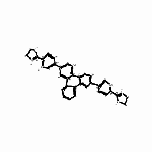 c1ccc2c(c1)c1cc(-c3ccc(C4=NCCO4)nc3)ccc1c1ccc(-c3ccc(C4=NCCO4)nc3)cc21